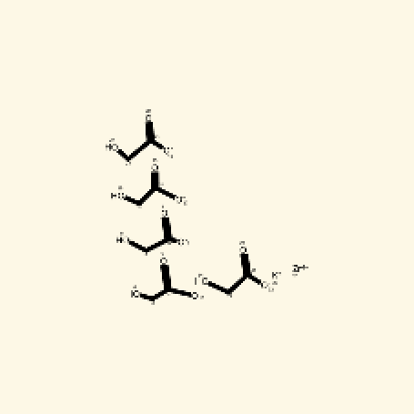 O=C([O-])CO.O=C([O-])CO.O=C([O-])CO.O=C([O-])CO.O=C([O-])CO.[K+].[Zr+4]